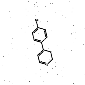 Nc1ccc(C2=CC=NCC2)cc1